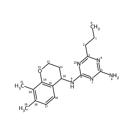 CCCc1nc(N)nc(NC2CCOc3c2ccc(C)c3C)n1